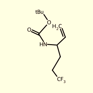 C=CC(CCC(F)(F)F)NC(=O)OC(C)(C)C